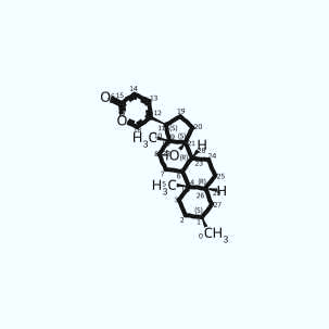 C[C@H]1CC[C@]2(C)C3CC[C@]4(C)[C@@H](c5ccc(=O)oc5)CC[C@]4(O)[C@@H]3CC[C@@H]2C1